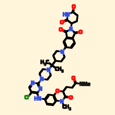 CNC(=O)CCC1Oc2cc(Nc3nc(N4CCN(C(C)(C)C5CCN(c6ccc7c(c6)C(=O)N(C6CCC(=O)NC6=O)C7=O)CC5)CC4)ncc3Cl)ccc2N(C)C1=O